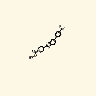 CC(C)OC(=O)N1CCC(c2nc3ccc(-c4ccc(C(F)F)cc4)cc3o2)CC1